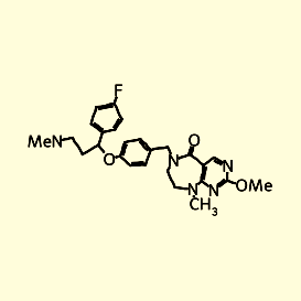 CNCCC(Oc1ccc(CN2CCN(C)c3nc(OC)ncc3C2=O)cc1)c1ccc(F)cc1